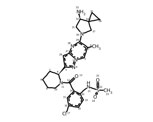 Cc1cn2nc([C@@H]3CCCCN3C(=O)c3cc(Cl)ccc3NS(C)(=O)=O)cc2nc1N1C[C@@H](N)C2(CC2)C1